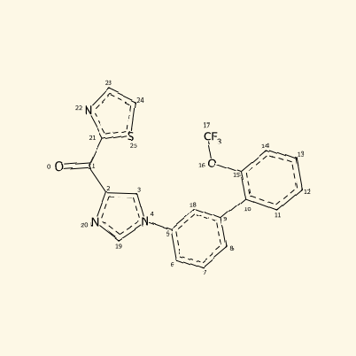 O=C(c1cn(-c2cccc(-c3ccccc3OC(F)(F)F)c2)cn1)c1nccs1